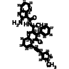 C[C@@H](NC(=O)c1c(N)nn2cccnc12)c1nc2cccc(C#Cc3cnn(C)c3)n2c(=O)c1-c1ccccc1